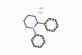 Cl.Cl.c1ccc(C2CCCCN2c2ccccc2)cc1